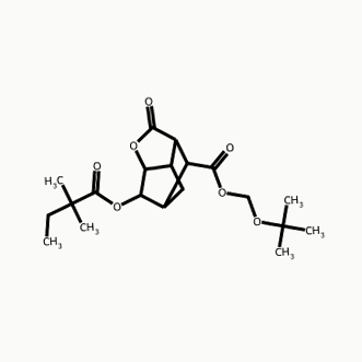 CCC(C)(C)C(=O)OC1C2CC3C1OC(=O)C3C2C(=O)OCOC(C)(C)C